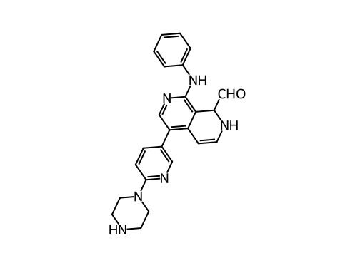 O=CC1NC=Cc2c(-c3ccc(N4CCNCC4)nc3)cnc(Nc3ccccc3)c21